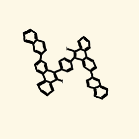 Ic1c(-c2ccc(-c3c(I)c4ccccc4c4ccc(-c5ccc6ccccc6c5)cc34)cc2)c2cc(-c3ccc4ccccc4c3)ccc2c2ccccc12